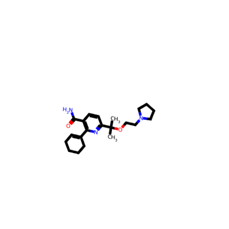 CC(C)(OCCN1CCCC1)c1ccc(C(N)=O)c(C2=CCCCC2)n1